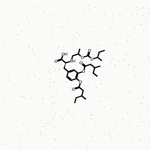 CCC(C)CC(=O)Oc1ccc(C[C@H](NCC(C)OC(=O)OC(C)CC)C(=O)O)cc1OC(=O)CC(C)CC